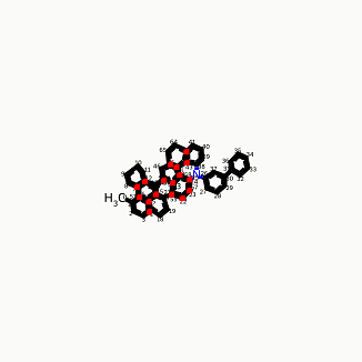 Cc1ccccc1-c1ccccc1C(C)c1ccccc1-c1ccc(N(c2cccc(-c3ccccc3)c2)c2ccccc2-c2ccc(-c3ccccc3)c3ccccc23)c(-c2ccccc2)c1